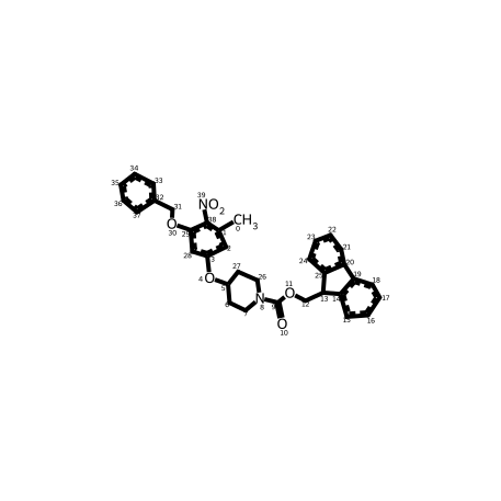 Cc1cc(OC2CCN(C(=O)OCC3c4ccccc4-c4ccccc43)CC2)cc(OCc2ccccc2)c1[N+](=O)[O-]